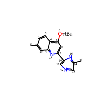 Cc1ccc2c(OC(C)(C)C)cc(-c3cncc(C)n3)nc2c1